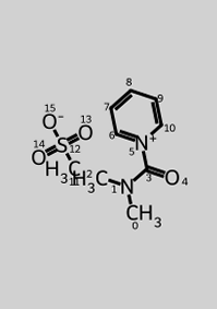 CN(C)C(=O)[n+]1ccccc1.CS(=O)(=O)[O-]